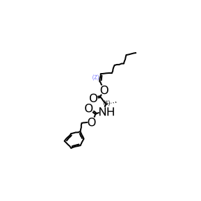 CCCCC/C=C\OC(=O)[C@H](C)NC(=O)OCc1ccccc1